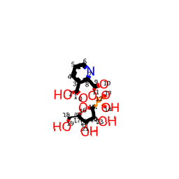 O=C(O)c1cccnc1C(=O)OP(=O)(O)[C]1O[C@H](CO)[C@@H](O)[C@H]1O